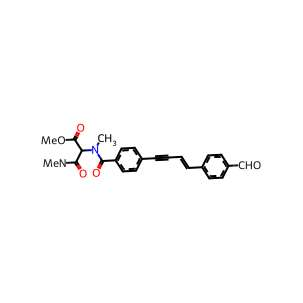 CNC(=O)C(C(=O)OC)N(C)C(=O)c1ccc(C#C/C=C/c2ccc(C=O)cc2)cc1